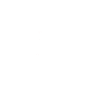 Cc1cc(=O)c2[c]c3ccoc3cc2o1